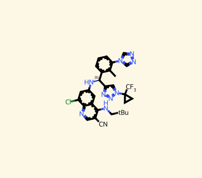 Cc1c([C@H](Nc2cc(Cl)c3ncc(C#N)c(NCC(C)(C)C)c3c2)c2cn(C3(C(F)(F)F)CC3)nn2)cccc1-n1cnnc1